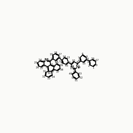 c1ccc(-c2cccc(-c3cc(-c4ccc(-c5cccc(-c6nc7ccccc7c7c8ccccc8c8ccccc8c67)c5)cc4)nc(-c4ccccc4)n3)c2)cc1